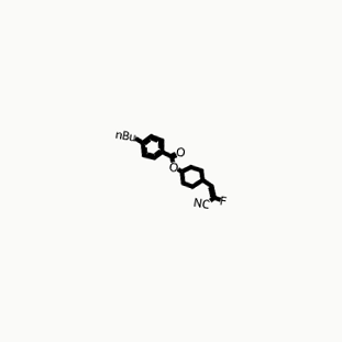 CCCCc1ccc(C(=O)OC2CCC(/C=C(/F)C#N)CC2)cc1